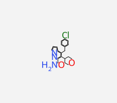 NC(=O)c1nn2cccc2c(Cc2ccc(Cl)cc2)c1C1CCOCC1